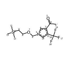 [CH2]C(=O)c1cn(COCC[Si](C)(C)C)cc1C(F)(F)F